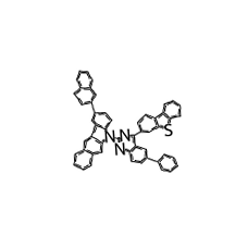 c1ccc(-c2ccc3nc(-n4c5ccc(-c6ccc7ccccc7c6)cc5c5cc6ccccc6cc54)nc(-c4ccc5c(c4)sc4ccccc45)c3c2)cc1